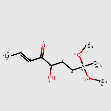 CC=CC(=O)C(O)CC[Si](C)(OCCCC)OCCCC